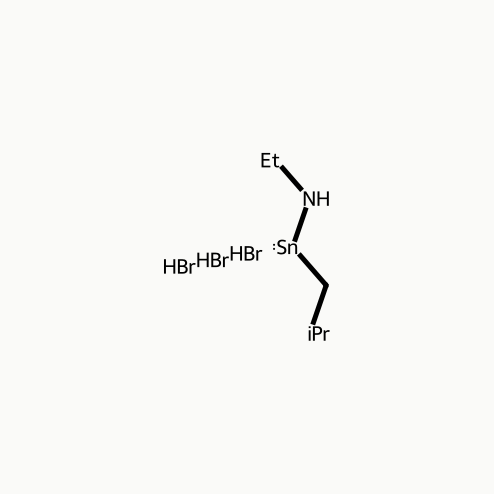 Br.Br.Br.CC[NH][Sn][CH2]C(C)C